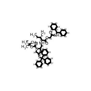 CC[C@H](C)[C@H](NCC1CC(SC(c2ccccc2)(c2ccccc2)c2ccccc2)CN1C(=O)OC(C)(C)C)C(=O)OCC(=O)NC(c1ccccc1)c1ccccc1